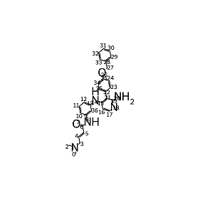 CN(C)C/C=C/C(=O)Nc1cccc(Nc2ccnc(N)c2-c2ccc(OCc3ccccc3)cc2)c1